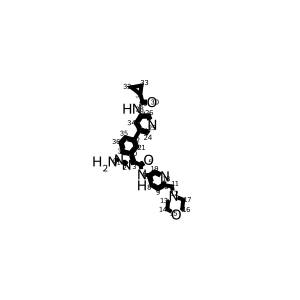 Nn1nc(C(=O)Nc2ccc(CN3CCOCC3)nc2)c2cc(-c3cncc(NC(=O)C4CC4)c3)ccc21